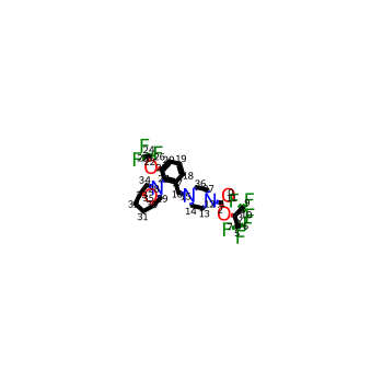 O=C(OC(C(F)(F)F)C(F)(F)F)N1CCN(Cc2cccc(OC(F)(F)F)c2N2CC3CCC(C2)O3)CC1